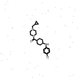 O=C(C1CCC(Nc2ccc(Cl)cc2)CC1)N1CCN(CC2CC2)CC1